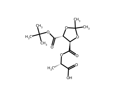 C[C@H](OC(=O)[C@@H]1OC(C)(C)O[C@H]1C(=O)OC(C)(C)C)C(=O)O